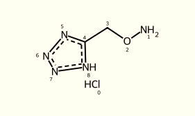 Cl.NOCc1nnn[nH]1